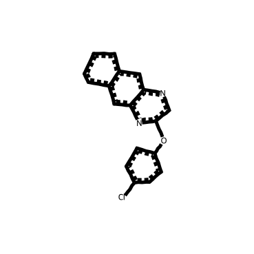 Clc1ccc(Oc2cnc3cc4ccccc4cc3n2)cc1